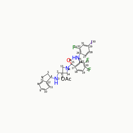 CC(=O)OC1(CNC2CCc3ccccc32)CN(C(=O)c2ccc(F)c(F)c2Nc2ccc(I)cc2F)C1